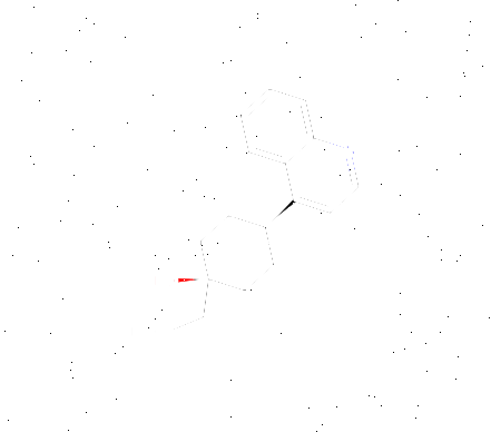 CCOC(=O)C[C@]1(O)CC[C@@H](c2ccnc3ccccc32)CC1